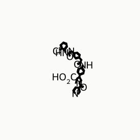 O=C(Cc1ccc2nc(Nc3ccccc3Cl)oc2c1)Nc1ccc(C2CN(C(=O)c3ccncc3)CC2C(=O)O)cc1